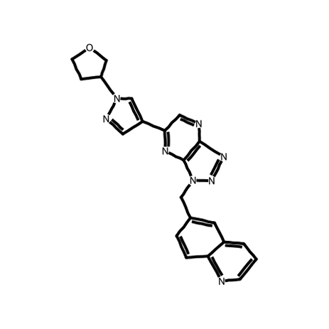 c1cnc2ccc(Cn3nnc4ncc(-c5cnn(C6CCOC6)c5)nc43)cc2c1